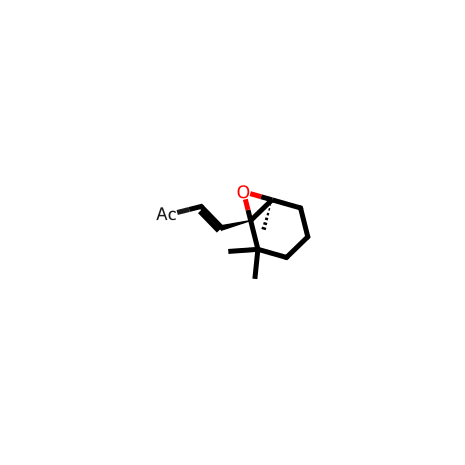 CC(=O)/C=C/[C@@]12O[C@@]1(C)CCCC2(C)C